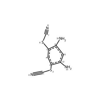 N#CSc1cc(SC#N)c(N)cc1N